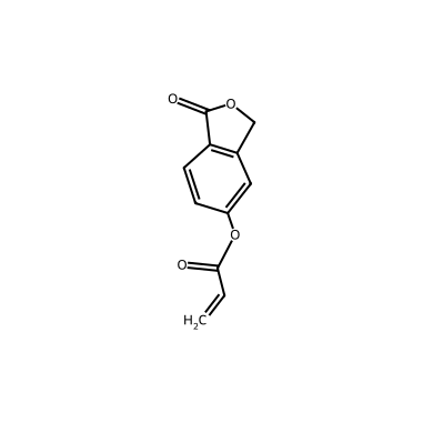 C=CC(=O)Oc1ccc2c(c1)COC2=O